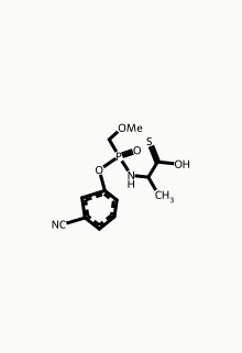 COCP(=O)(NC(C)C(O)=S)Oc1cccc(C#N)c1